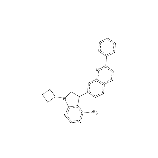 Nc1ncnc2c1C(c1ccc3ccc(-c4ccccc4)nc3c1)CN2C1CCC1